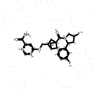 NC(=O)c1cc(OCC2CC3(C(=O)N4CC(F)CC4c4cccc(F)c4)CC2C3)ncn1